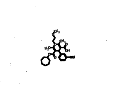 COCCN1C(C)=C(C(=O)O)C(c2cccc(C#N)c2)C(C(=O)OC2CCCCCC2)=C1C